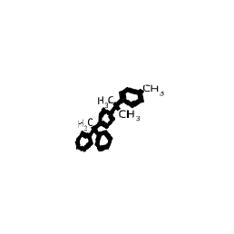 Cc1ccc(C(C)(C)c2ccc(C(C)(c3ccccc3)c3ccccc3)cc2)cc1